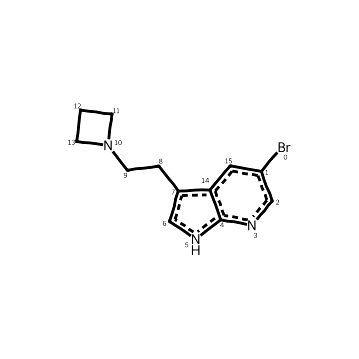 Brc1cnc2[nH]cc(CCN3CCC3)c2c1